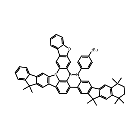 CC(C)(C)c1ccc(N2B3c4cc5oc6ccccc6c5cc4-n4c5cc6c(cc5c5ccc(c3c54)-c3cc4c(cc32)-c2cc3c(cc2C4(C)C)C(C)(C)CCC3(C)C)C(C)(C)c2ccccc2-6)cc1